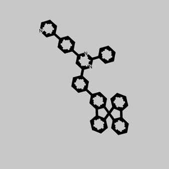 c1ccc(-c2nc(-c3ccc(-c4cccnc4)cc3)cc(-c3cccc(-c4ccc5c(c4)-c4ccccc4C54c5ccccc5-c5ccccc54)c3)n2)cc1